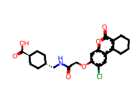 O=C(COc1cc2oc(=O)c3c(c2cc1Cl)CCCC3)NC[C@H]1CC[C@H](C(=O)O)CC1